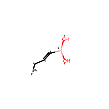 CC(C)CC=CB(O)O